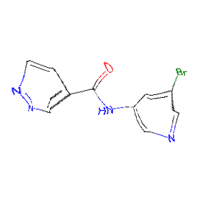 O=C(Nc1cncc(Br)c1)c1ccnnc1